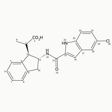 CC(C(=O)O)[C@@H]1c2ccccc2C[C@H]1NC(=O)c1cc2cc(Cl)ccc2[nH]1